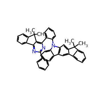 CC1(C)c2ccccc2-c2cc3c4ccccc4n(-c4ccccc4-c4nc(-c5ccccc5)nc5c4C(C)(C)c4ccccc4-5)c3cc21